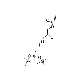 C=CC(=O)OCC(O)COCCC[Si](C)(O[Si](C)(C)C)O[Si](C)(C)C